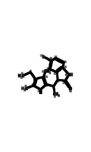 CCc1c(C)[nH]c(C(C)C2C(=O)Nc3ccc(F)cc32)c1C